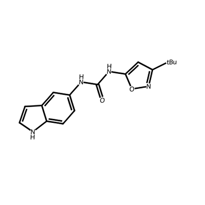 CC(C)(C)c1cc(NC(=O)Nc2ccc3[nH]ccc3c2)on1